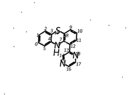 c1ccc2c(c1)Nc1c(cccc1-c1cnccn1)S2